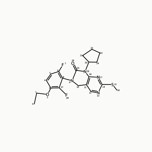 CCOc1ccc(F)c(N2Cc3cnc(SC)nc3N(C3CCCC3)C2=O)c1F